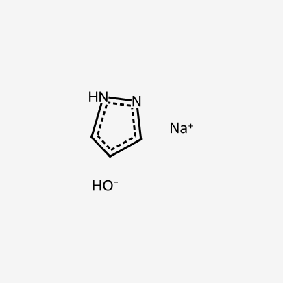 [Na+].[OH-].c1cn[nH]c1